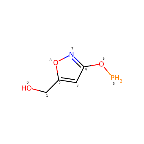 OCc1cc(OP)no1